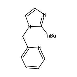 CCCCc1nccn1Cc1ccccn1